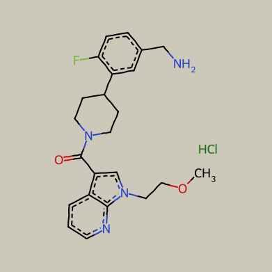 COCCn1cc(C(=O)N2CCC(c3cc(CN)ccc3F)CC2)c2cccnc21.Cl